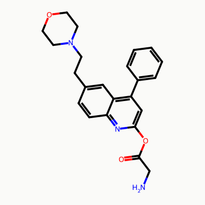 NCC(=O)Oc1cc(-c2ccccc2)c2cc(CCN3CCOCC3)ccc2n1